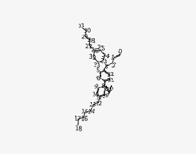 C=CCC(c1ccc(-c2ccc(CCCCCCC)cn2)cc1)[C@H]1CC[C@H](CCCCC)CC1